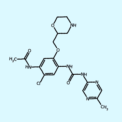 CC(=O)Nc1cc(OCC2CNCCO2)c(NC(=O)Nc2cnc(C)cn2)cc1Cl